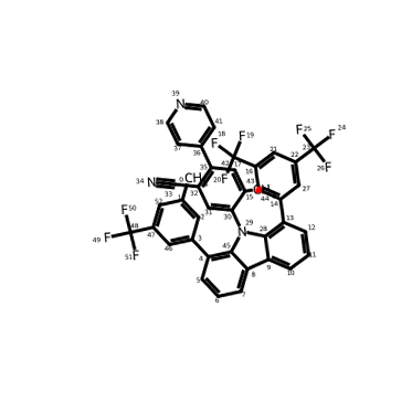 Cc1cc(-c2cccc3c4cccc(-c5cc(C(F)(F)F)cc(C(F)(F)F)c5)c4n(-c4cc(C#N)c(-c5ccncc5)cc4C)c23)cc(C(F)(F)F)c1